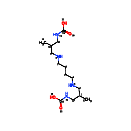 CC(CNCCCCNCC(C)CNC(=O)O)CNC(=O)O